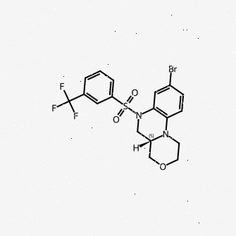 O=S(=O)(c1cccc(C(F)(F)F)c1)N1C[C@H]2COCCN2c2ccc(Br)cc21